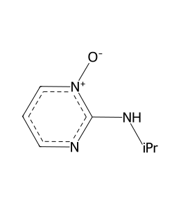 CC(C)Nc1nccc[n+]1[O-]